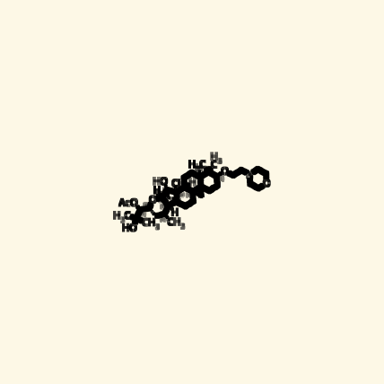 CC(=O)O[C@@H]([C@H]1C[C@@H](C)[C@H]2[C@H](O1)[C@H](O)[C@@]1(C)[C@@H]3CC[C@H]4C(C)(C)[C@@H](OCCN5CCOCC5)CCC45C[C@@]35CC[C@]21C)C(C)(C)O